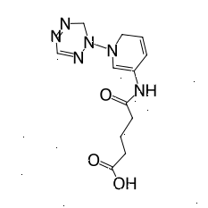 O=C(O)CCCC(=O)NC1=CN(N2CN=NC=N2)CC=C1